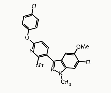 CCCc1nc(Oc2ccc(Cl)cc2)ccc1-c1nn(C)c2cc(Cl)c(OC)cc12